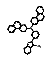 Cc1c(-c2cccc(N(c3ccc4c(ccc5ccccc54)c3)c3ccc4c(ccc5ccccc54)c3)c2)oc2ccccc12